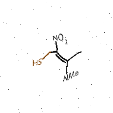 CNC(C)=C(S)[N+](=O)[O-]